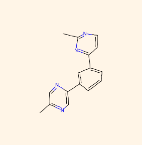 Cc1cnc(-c2cccc(-c3ccnc(C)n3)c2)cn1